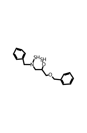 SOC(COCc1ccccc1)CN(S)Cc1ccccc1